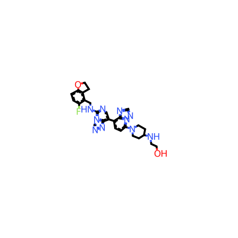 OCCNC1CCN(c2ccc(-c3cnc(NCc4c(F)ccc5c4CCO5)n4cnnc34)c3ncnn23)CC1